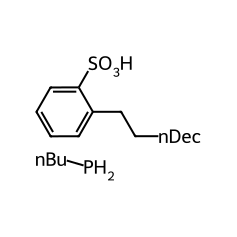 CCCCCCCCCCCCc1ccccc1S(=O)(=O)O.CCCCP